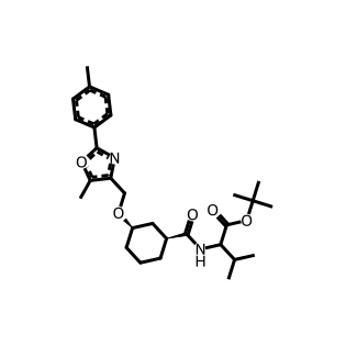 Cc1ccc(-c2nc(CO[C@@H]3CCC[C@H](C(=O)NC(C(=O)OC(C)(C)C)C(C)C)C3)c(C)o2)cc1